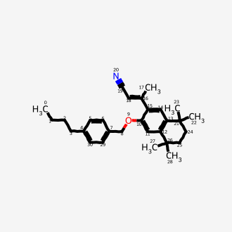 CCCCc1ccc(COc2cc3c(cc2C(C)=CC#N)C(C)(C)CCC3(C)C)cc1